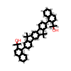 CC(C)(O)c1ccc2ccccc2c1-c1ccc2c(c1)C(C)(C)c1cc3c(cc1-2)C(C)(C)c1cc(-c2c(C(C)(C)O)ccc4ccccc24)ccc1-3